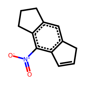 O=[N+]([O-])c1c2c(cc3c1CCC3)CC=C2